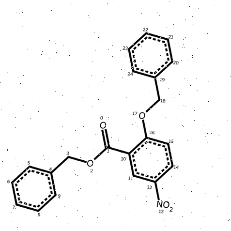 O=C(OCc1ccccc1)c1cc([N+](=O)[O-])ccc1OCc1ccccc1